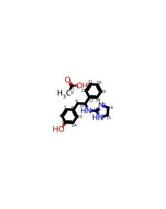 CC(=O)O.Oc1ccc(CC(NC2=NCCN2)c2ccccc2)cc1